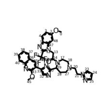 COc1ccc2nc(C(F)(F)F)n(CC(=O)N3CCN(CCn4cccn4)CCC3c3ncc(-c4cc5ccccc5nc4OC)[nH]3)c2c1